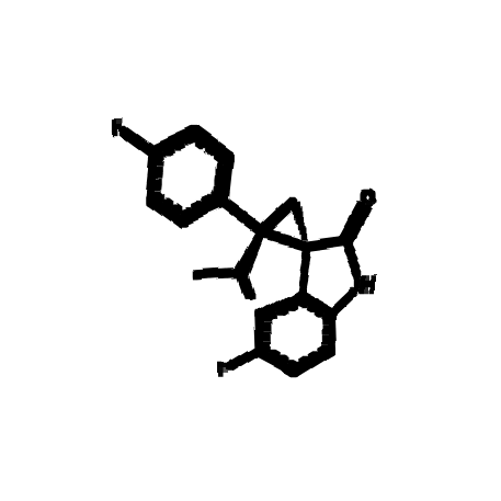 CC(C)[C@@]1(c2ccc(F)cc2)C[C@@]12C(=O)Nc1ccc(F)cc12